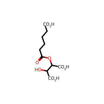 O=C(O)CCCCC(=O)OC(C(=O)O)C(O)C(=O)O